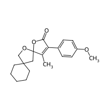 COc1ccc(C2=C(C)C3(CC4(CCCCC4)CO3)OC2=O)cc1